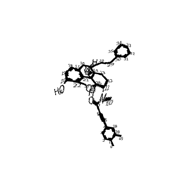 Cc1ccc(C#CC(=O)N(C)[C@H]2CC[C@H]3[C@H]4Cc5ccc(O)c6c5[C@@]3(CCN4CCc3ccccc3)[C@H]2O6)cc1C